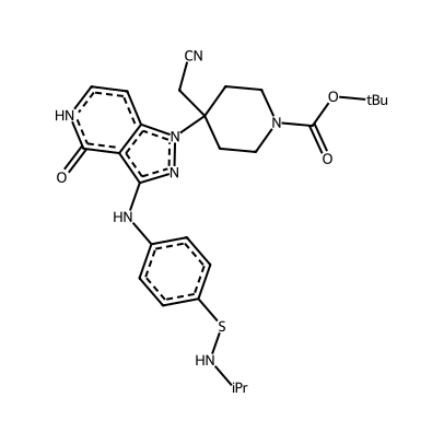 CC(C)NSc1ccc(Nc2nn(C3(CC#N)CCN(C(=O)OC(C)(C)C)CC3)c3cc[nH]c(=O)c23)cc1